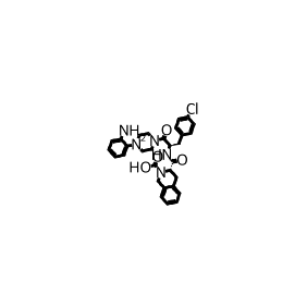 Nc1ccccc1N1CCN(C(=O)[C@@H](Cc2ccc(Cl)cc2)NC(=O)[C@@H]2Cc3ccccc3CN2C(=O)O)CC1